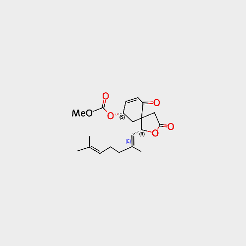 COC(=O)O[C@@H]1C=CC(=O)C2(CC(=O)O[C@@H]2/C=C(\C)CCC=C(C)C)C1